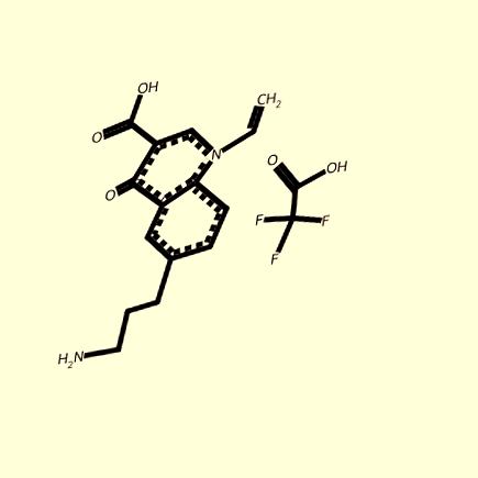 C=Cn1cc(C(=O)O)c(=O)c2cc(CCCN)ccc21.O=C(O)C(F)(F)F